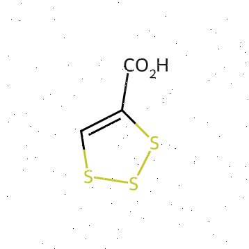 O=C(O)C1=CSSS1